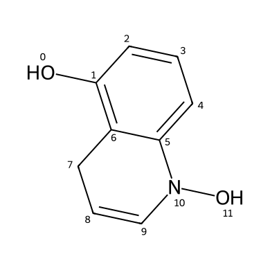 Oc1cccc2c1CC=CN2O